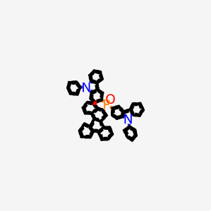 O=P(c1ccc2c(c1)c1ccccc1n2-c1ccccc1)(c1ccc2c(c1)c1ccccc1n2-c1ccccc1)c1cc2c3ccccc3c3ccccc3c2c2ccccc12